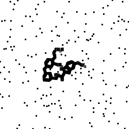 Cc1cc(Oc2cccc(CNC(=O)c3cc4cc(OC(F)(F)F)ccc4[nH]3)c2)ccc1CCC(=O)O